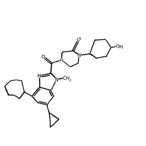 Cn1c(C(=O)N2CCN(C3CCC(O)CC3)C(=O)C2)nc2c(C3CCCCC3)cc(C3CC3)cc21